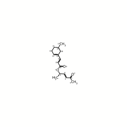 CC(=O)C=C[C@@H](C)OC(=O)/C=C/C1=CCC[C@@H](C)C1